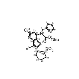 CC(C)(C)OC(=O)N(Cc1cccs1)c1cc(Cl)nc2c(I)c([C@H]3CCCC[C@H]3[N+](=O)[O-])sc12